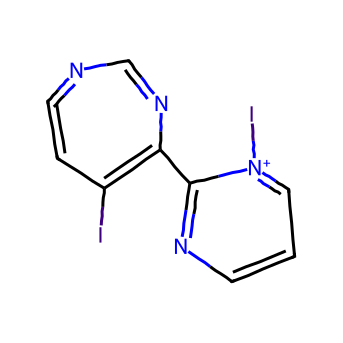 IC1=C(c2nccc[n+]2I)N=CN=C=C1